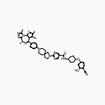 COc1cc(OC2CCC(NC(=O)c3cnc(N4CCC5(CCN(c6ccc(C7=N[C@@H](C)c8nnc(C)n8-c8sc(C)c(C)c87)cc6)CC5)C4)nc3)CC2)ccc1C#N